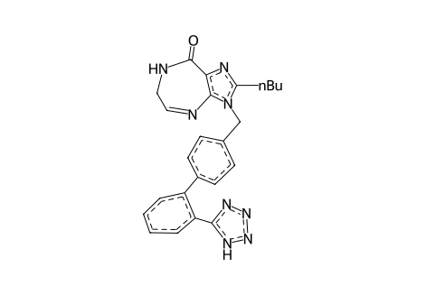 CCCCc1nc2c(n1Cc1ccc(-c3ccccc3-c3nnn[nH]3)cc1)N=CCNC2=O